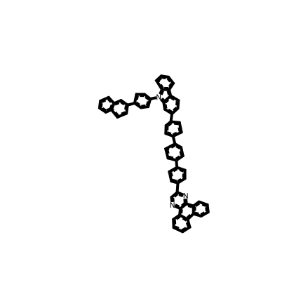 c1ccc2cc(-c3ccc(-n4c5ccccc5c5ccc(-c6ccc(-c7ccc(-c8ccc(-c9cnc%10c%11ccccc%11c%11ccccc%11c%10n9)cc8)cc7)cc6)cc54)cc3)ccc2c1